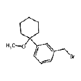 COC1(c2cccc(CBr)c2)CCCCC1